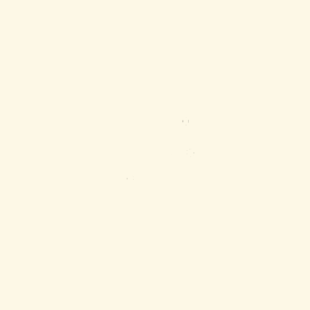 CCC(C)OC(C)CC(CC)(CC)OC(C)=O